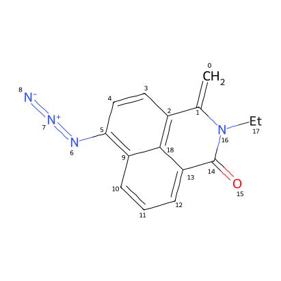 C=c1c2ccc(N=[N+]=[N-])c3cccc(c(=O)n1CC)c32